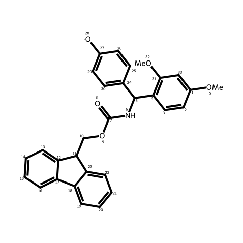 COc1ccc(C(NC(=O)OCC2c3ccccc3-c3ccccc32)c2ccc([O])cc2)c(OC)c1